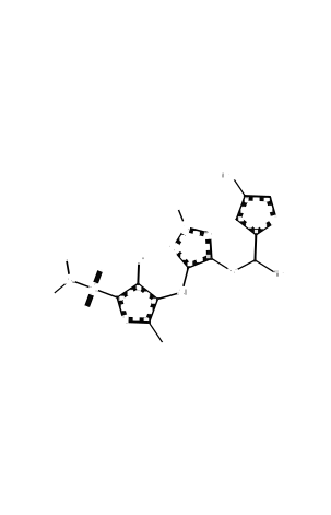 CCN(CC)S(=O)(=O)c1sc(C)c(Nc2n[s+]([O-])nc2NC(c2cc(C(C)C)co2)C(C)C)c1O